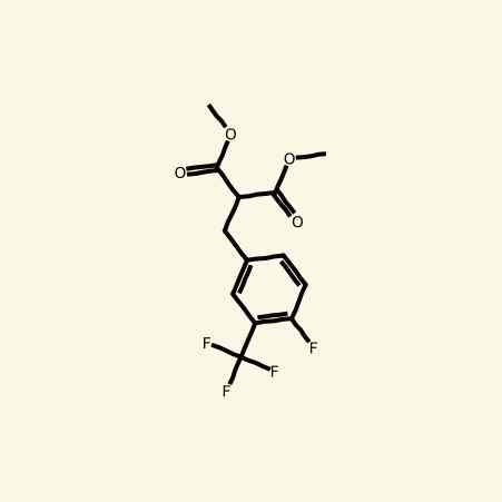 COC(=O)C(Cc1ccc(F)c(C(F)(F)F)c1)C(=O)OC